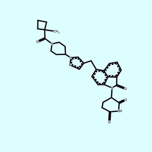 CC1(C(=O)N2CCC(n3cc(Cc4ccc5c6c(cccc46)C(=O)N5C4CCC(=O)NC4=O)cn3)CC2)CCC1